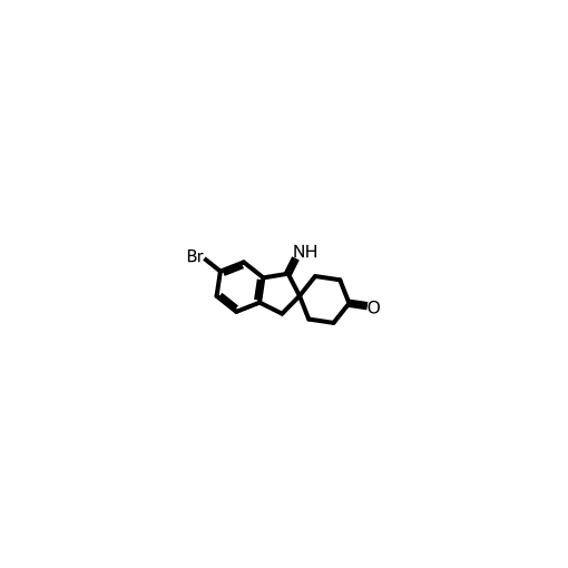 N=C1c2cc(Br)ccc2CC12CCC(=O)CC2